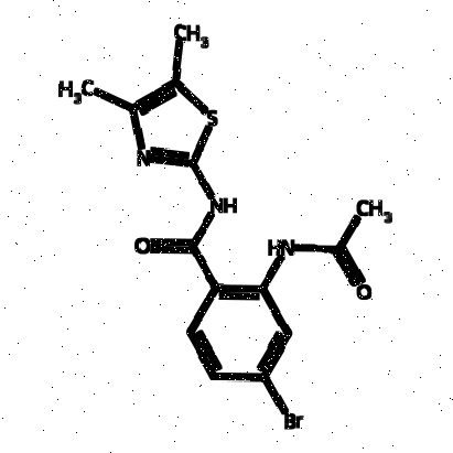 CC(=O)Nc1cc(Br)ccc1C(=O)Nc1nc(C)c(C)s1